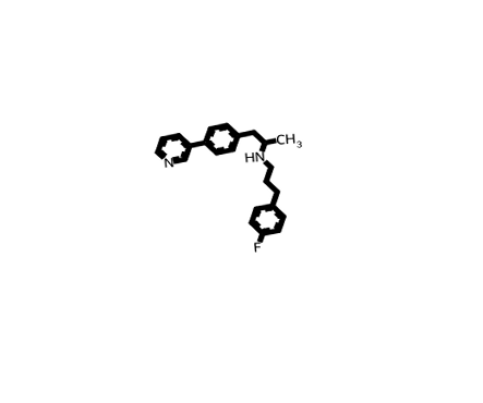 CC(Cc1ccc(-c2cccnc2)cc1)NCCCc1ccc(F)cc1